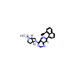 C#Cc1cccc2cccc(-c3ncc4c(N5C[C@@H]6[C@H]5CCN6C(=O)O)ncnc4c3F)c12